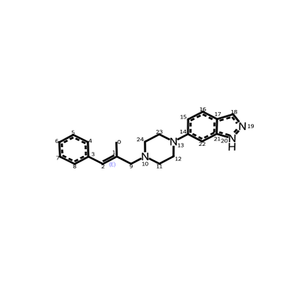 C/C(=C\c1ccccc1)CN1CCN(c2ccc3cn[nH]c3c2)CC1